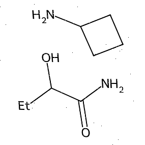 CCC(O)C(N)=O.NC1CCC1